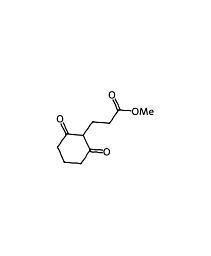 COC(=O)CCC1C(=O)CCCC1=O